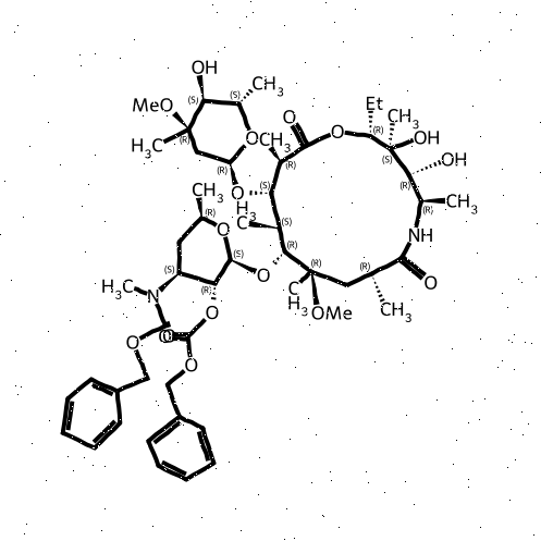 CC[C@H]1OC(=O)[C@H](C)[C@@H](O[C@H]2C[C@@](C)(OC)[C@@H](O)[C@H](C)O2)[C@H](C)[C@@H](O[C@@H]2O[C@H](C)C[C@H](N(C)C(=O)OCc3ccccc3)[C@H]2OC(=O)OCc2ccccc2)[C@](C)(OC)C[C@@H](C)C(=O)N[C@H](C)[C@@H](O)[C@]1(C)O